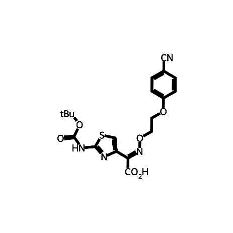 CC(C)(C)OC(=O)Nc1nc(C(=NOCCOc2ccc(C#N)cc2)C(=O)O)cs1